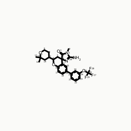 CN1C(=O)C2(CC(C3CCOC(C)(C)C3)Oc3ccc(-c4cccc(OC(F)(F)F)c4)cc32)N=C1N